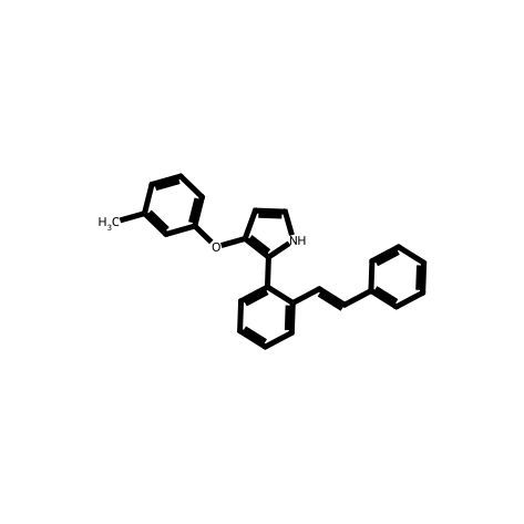 Cc1cccc(Oc2cc[nH]c2-c2ccccc2C=Cc2ccccc2)c1